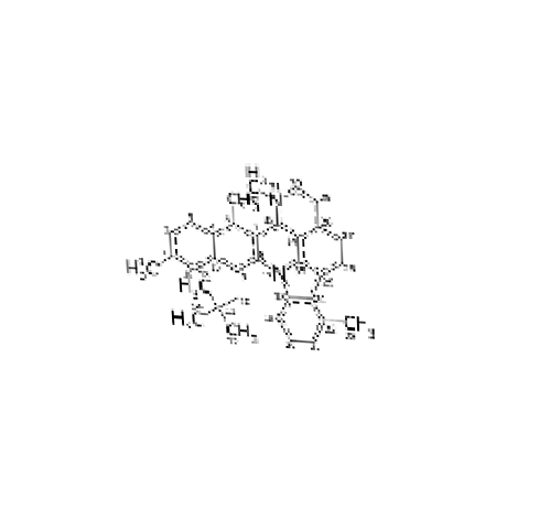 Cc1ccc2c(C)c3c(c(CC(C)(C)C)c2c1)n1c2cccc(C)c2c2ccc4cc[n+](C)c3c4c21